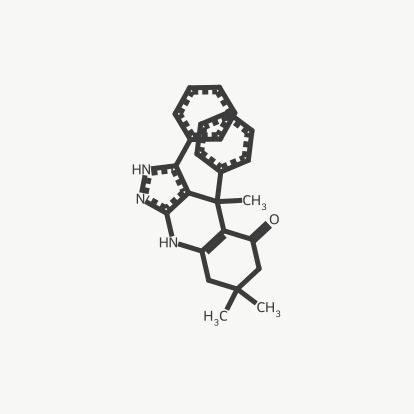 CC1(C)CC(=O)C2=C(C1)Nc1n[nH]c(-c3ccccc3)c1C2(C)c1ccccc1